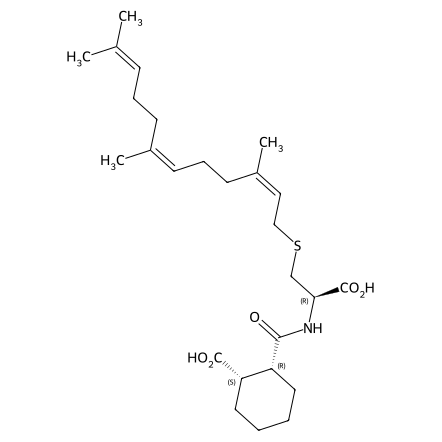 CC(C)=CCCC(C)=CCCC(C)=CCSC[C@H](NC(=O)[C@@H]1CCCC[C@@H]1C(=O)O)C(=O)O